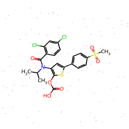 CC(C)N(C(=O)c1ccc(Cl)cc1Cl)c1cc(-c2ccc(S(C)(=O)=O)cc2)sc1OC(=O)O